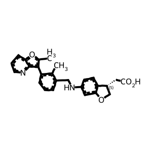 Cc1oc2cccnc2c1-c1cccc(CNc2ccc3c(c2)OC[C@H]3CC(=O)O)c1C